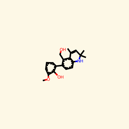 COc1cccc(-c2ccc3c(c2CO)C(C)=CC(C)(C)N3)c1O